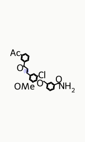 COc1cc(/C=C/C(=O)c2cccc(C(C)=O)c2)cc(Cl)c1OCc1cccc(C(N)=O)c1